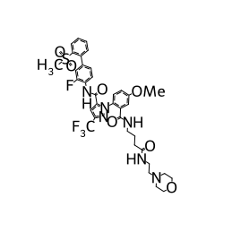 COc1ccc(-n2nc(C(F)(F)F)cc2C(=O)Nc2ccc(-c3ccccc3S(C)(=O)=O)cc2F)c(C(=O)NCCCC(=O)NCCN2CCOCC2)c1